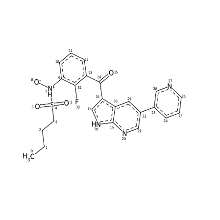 CCCCS(=O)(=O)[NH+]([O-])c1cccc(C(=O)c2c[nH]c3ncc(-c4cccnc4)cc23)c1F